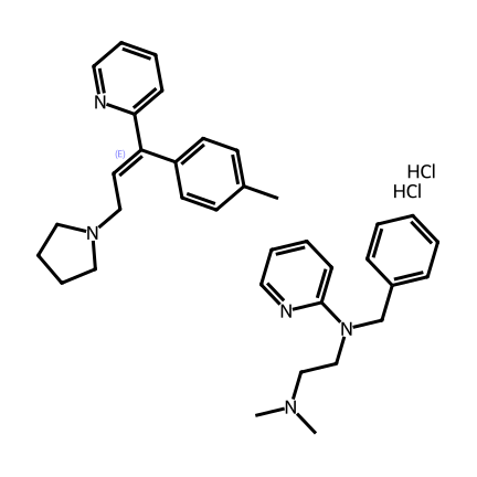 CN(C)CCN(Cc1ccccc1)c1ccccn1.Cc1ccc(/C(=C\CN2CCCC2)c2ccccn2)cc1.Cl.Cl